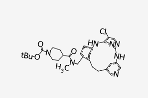 CN(Cc1ccc2cc1CCc1cncc(c1)Nc1ncc(Cl)c(n1)N2)C(=O)C1CCN(C(=O)OC(C)(C)C)CC1